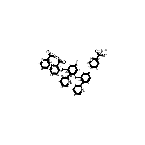 Fc1ccc(-c2ccccn2)c(F)c1.Fc1ccc(-c2ccccn2)c(F)c1.O=C([O-])c1ccccn1.O=C([O-])c1ccccn1.O=C([O-])c1ccccn1.[Ir+3]